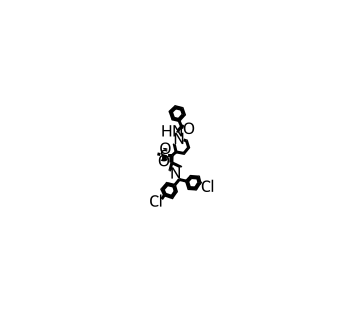 CS(=O)(=O)C(=C1CN(C(c2ccc(Cl)cc2)c2ccc(Cl)cc2)C1)C1CCCN(NC(=O)c2ccccc2)C1